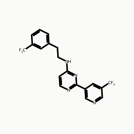 FC(F)(F)c1cccc(CCNc2ccnc(-c3cncc(C(F)(F)F)c3)n2)c1